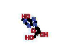 CN1CN=c2c(ncn2[C@H]2C[C@H](O)[C@@H](CO)O2)=C1O